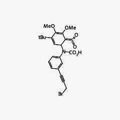 COC1=C(OC)C(=S(=O)=O)C(N(C(=O)O)c2cccc(C#CCBr)c2)C=C1C(C)(C)C